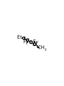 C/C=C\Cc1ccc(-c2ccc(-c3ccc(C4=CCC(CC)CC4)c(F)c3F)cc2)c(F)c1F